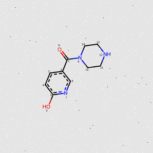 O=C(c1ccc(O)nc1)N1CCNCC1